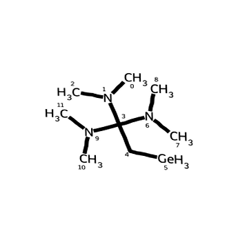 CN(C)C([CH2][GeH3])(N(C)C)N(C)C